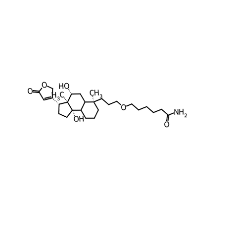 C[C@]1(CCCOCCCCCC(N)=O)CCCC2C1C[C@@H](O)[C@]1(C)[C@@H](C3=CC(=O)OC3)CC[C@]21O